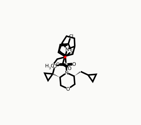 CCCN1C2CCC1CN(C(=O)OC1([C@H]3COC[C@@H](CC4CC4)N3S(=O)(=O)c3ccc(Cl)s3)CC1)C2